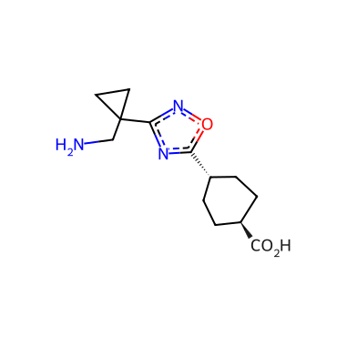 NCC1(c2noc([C@H]3CC[C@H](C(=O)O)CC3)n2)CC1